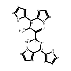 CN(C(=O)[C@@H](OP(c1ccco1)c1ccco1)C(C)(C)C)P(c1ccco1)c1ccco1